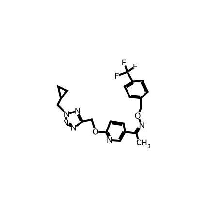 CC(=NOCc1ccc(C(F)(F)F)cc1)c1ccc(OCc2nnn(CC3CC3)n2)nc1